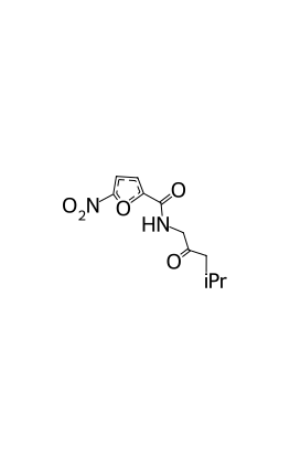 CC(C)CC(=O)CNC(=O)c1ccc([N+](=O)[O-])o1